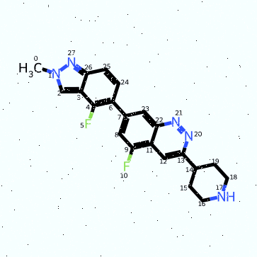 Cn1cc2c(F)c(-c3cc(F)c4cc(C5CCNCC5)nnc4c3)ccc2n1